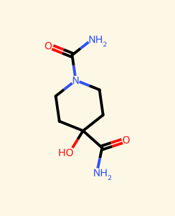 NC(=O)N1CCC(O)(C(N)=O)CC1